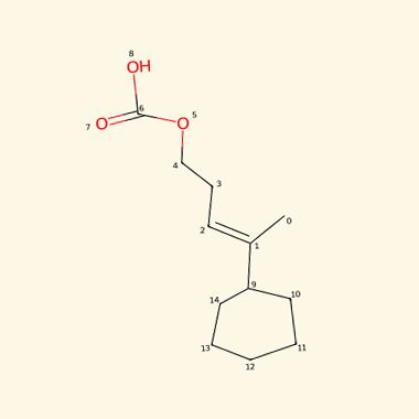 CC(=CCCOC(=O)O)C1CCCCC1